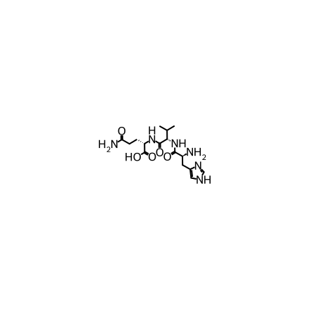 CC(C)[C@H](NC(=O)[C@@H](N)Cc1c[nH]cn1)C(=O)N[C@@H](CCC(N)=O)C(=O)O